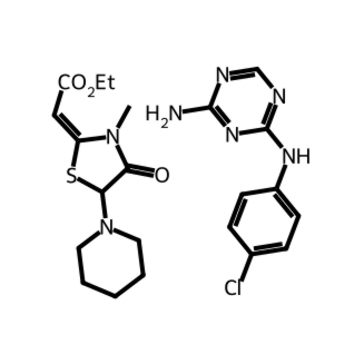 CCOC(=O)/C=C1/SC(N2CCCCC2)C(=O)N1C.Nc1ncnc(Nc2ccc(Cl)cc2)n1